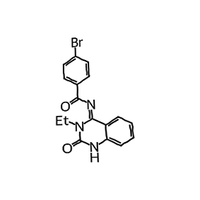 CCn1c(=O)[nH]c2ccccc2c1=NC(=O)c1ccc(Br)cc1